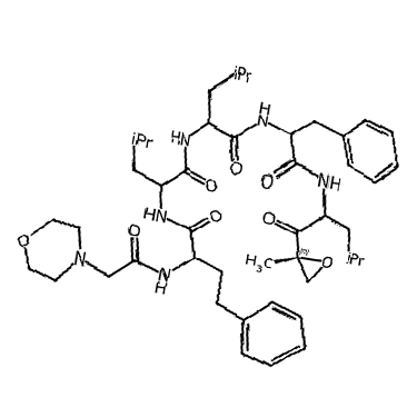 CC(C)CC(NC(=O)C(CCc1ccccc1)NC(=O)CN1CCOCC1)C(=O)NC(CC(C)C)C(=O)NC(Cc1ccccc1)C(=O)NC(CC(C)C)C(=O)[C@@]1(C)CO1